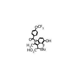 Cc1c(C(C(=O)O)C(C)(C)C)c2c(F)c(O)ccc2n1C(=O)c1ccc(OC(F)(F)F)cc1